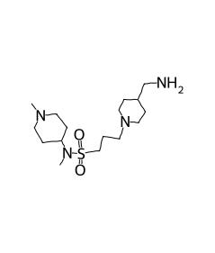 CN1CCC(N(C)S(=O)(=O)CCCN2CCC(CN)CC2)CC1